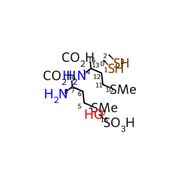 CS.CS.CSCCC(N)C(=O)O.CSCCC(N)C(=O)O.O=S(=O)(O)O